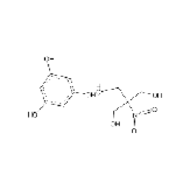 O=[N+]([O-])C(CO)(CO)CO.Oc1cc(O)cc(O)c1